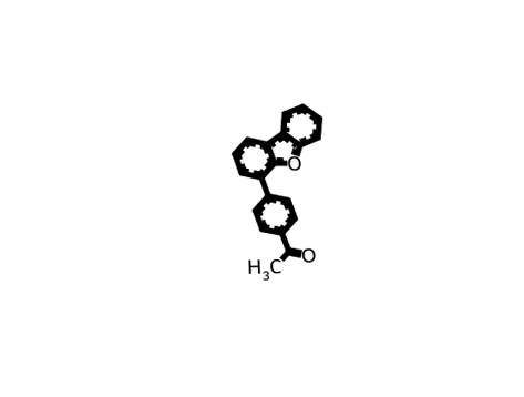 CC(=O)c1ccc(-c2cccc3c2oc2ccccc23)cc1